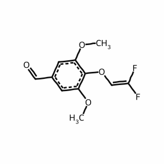 COc1cc(C=O)cc(OC)c1OC=C(F)F